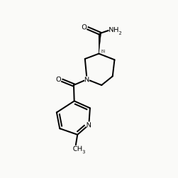 Cc1ccc(C(=O)N2CCC[C@H](C(N)=O)C2)cn1